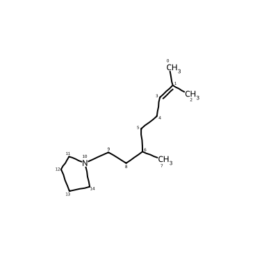 CC(C)=CCCC(C)CCN1CCCC1